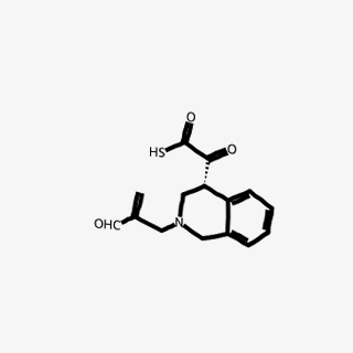 C=C(C=O)CN1Cc2ccccc2[C@@H](C(=O)C(=O)S)C1